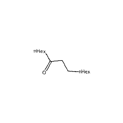 CCCCCCCCC(=O)CCCCCC